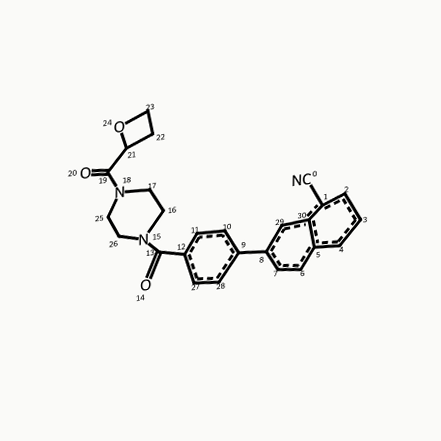 N#Cc1cccc2ccc(-c3ccc(C(=O)N4CCN(C(=O)C5CCO5)CC4)cc3)cc12